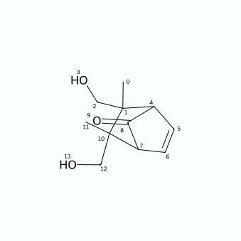 CC1(CO)C2C=CC(C2=O)C1(C)CO